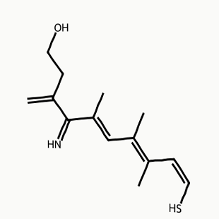 C=C(CCO)C(=N)/C(C)=C/C(C)=C(C)/C=C\S